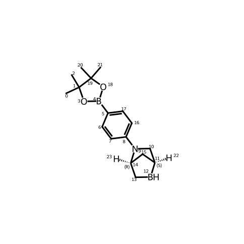 CC1(C)OB(c2ccc(N3C[C@H]4BC[C@@H]3C4)cc2)OC1(C)C